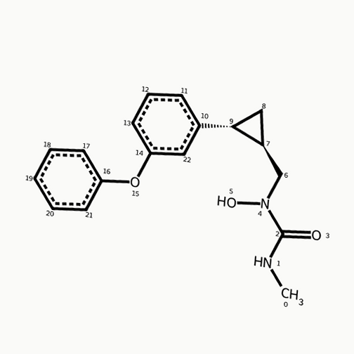 CNC(=O)N(O)C[C@@H]1C[C@H]1c1cccc(Oc2ccccc2)c1